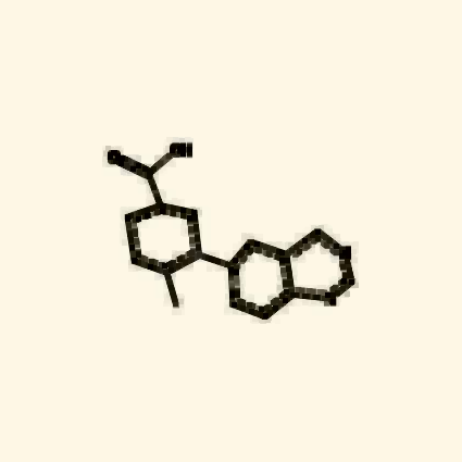 Cc1ccc(C(=O)O)cc1-c1ccc2ncncc2c1